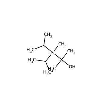 CC(C)[Si](C)(C(C)C)C(C)(C)O